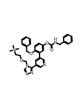 C[Si](C)(C)CCOCn1cnnc1-c1cncc(-c2cc(OC(=O)NCc3ccccc3)ccc2OCc2ccccc2)c1